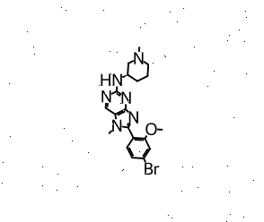 COc1cc(Br)ccc1-c1nc2nc(N[C@@H]3CCCN(C)C3)ncc2n1C